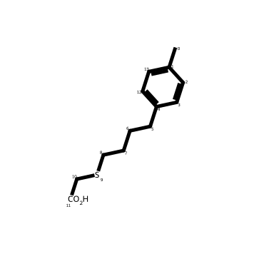 Cc1ccc(CCCCSCC(=O)O)cc1